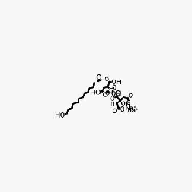 C1CO1.CCCCCCCCCCCCO.O=C(O)CC(C(=O)O)S(=O)(=O)O.O=C([O-])CC(O)(CC(=O)[O-])C(=O)O.[Na+].[Na+]